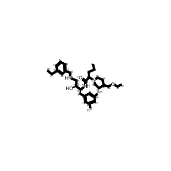 CCCC(C(=O)N[C@@H](Cc1cc(F)cc(F)c1)[C@@H](O)CNCc1cccc(CC)c1)N1CCC(COCC)CC1